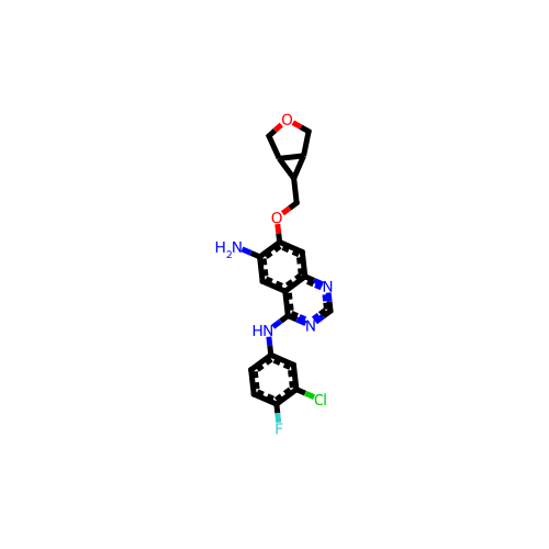 Nc1cc2c(Nc3ccc(F)c(Cl)c3)ncnc2cc1OCC1C2COCC21